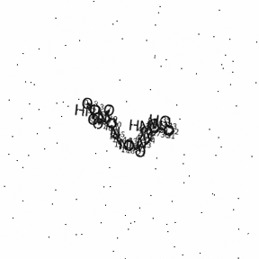 O=C1CCC(N2C(=O)c3ccc(N4CC(CN5CCN(C(=O)N6CCN7c8cc(-c9ccccc9O)nnc8NCC7C6)CC5)C4)cc3C2=O)C(=O)N1